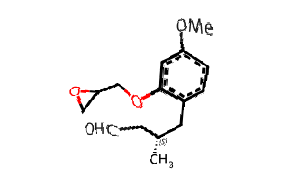 COc1ccc(C[C@H](C)CC=O)c(OCC2CO2)c1